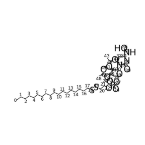 CCCCCCCCCCCCCCCCCCSSCCOP(=O)(OC)OC1OC(n2ccc(NO)nc2=O)[C@H](OC(C)=O)[C@H]1OC(C)=O